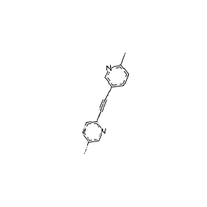 Cc1ccc(C#Cc2ccc(C)nc2)nc1